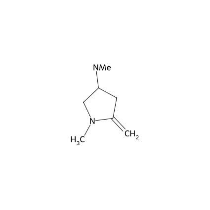 C=C1CC(NC)CN1C